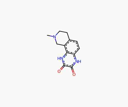 CN1CCc2ccc3[nH]c(=O)c(=O)[nH]c3c2C1